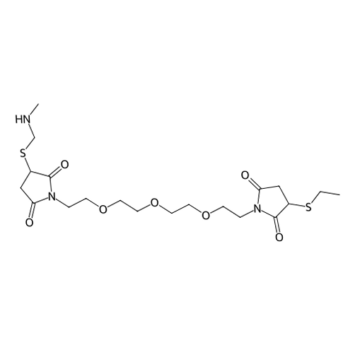 CCSC1CC(=O)N(CCOCCOCCOCCN2C(=O)CC(SCNC)C2=O)C1=O